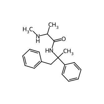 CNC(C)C(=O)NC(C)(Cc1ccccc1)c1ccccc1